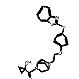 O=C(N1CC2CC1CN2CCOc1ccc(Oc2nc3ccccc3s2)cc1)C1(O)CC1